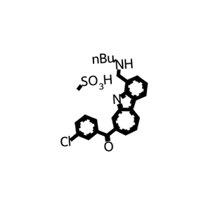 CCCCNCc1cccc2c3cccc(C(=O)c4cccc(Cl)c4)cc-3nc12.CS(=O)(=O)O